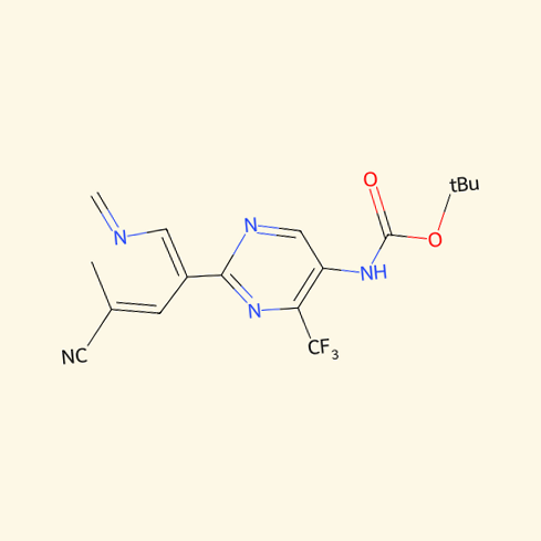 C=N/C=C(\C=C(/C)C#N)c1ncc(NC(=O)OC(C)(C)C)c(C(F)(F)F)n1